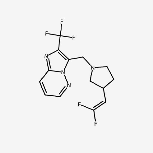 FC(F)=CC1CCN(Cc2c(C(F)(F)F)nc3cccnn23)C1